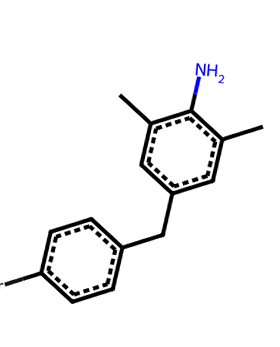 Cc1cc(Cc2ccc(C(C)C)cc2)cc(C)c1N